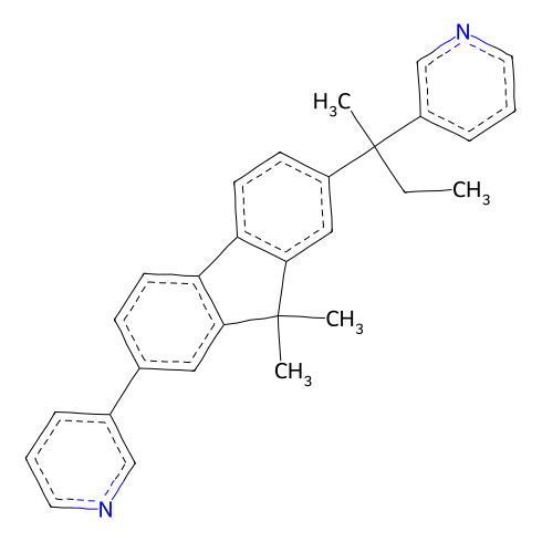 CCC(C)(c1cccnc1)c1ccc2c(c1)C(C)(C)c1cc(-c3cccnc3)ccc1-2